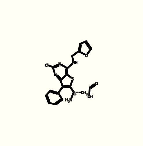 C[C@H](N)c1sc2c(NCc3ccco3)nc(Cl)nc2c1-c1ccccc1.O=CO